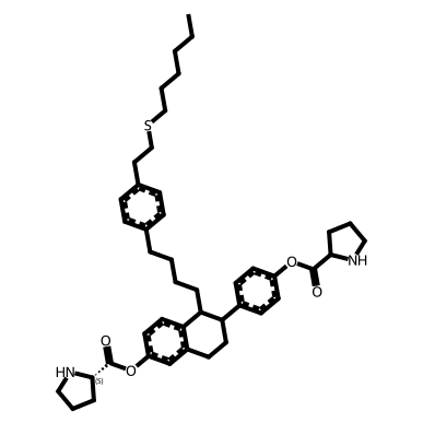 CCCCCCSCCc1ccc(CCCCC2c3ccc(OC(=O)[C@@H]4CCCN4)cc3CCC2c2ccc(OC(=O)C3CCCN3)cc2)cc1